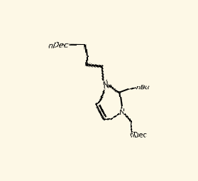 CCCCCCCCCCCCCN1C=CN(CCCCCCCCCCC)C1CCCC